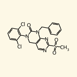 CS(=O)(=O)c1ncc2c(n1)N(Cc1ccccc1)C(=O)N(c1c(Cl)cccc1Cl)C2